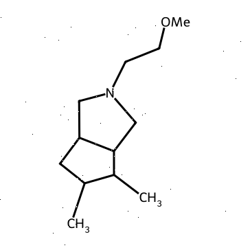 COCCN1CC2CC(C)C(C)C2C1